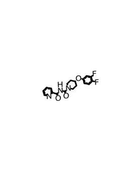 O=C(NC(=O)N1CCC(Oc2ccc(F)c(F)c2)CC1)c1ccccn1